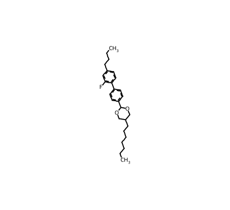 CCCCCCCC1COC(c2ccc(-c3ccc(CCCC)cc3F)cc2)OC1